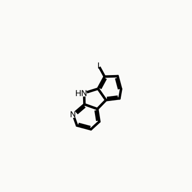 Ic1cccc2c1[nH]c1ncccc12